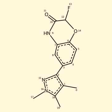 Cc1c(-c2ccc3c(c2)NC(=O)C(F)O3)nn(C)c1C